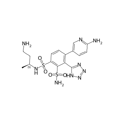 C[C@@H](CCN)NS(=O)(=O)c1ccc(-c2ccc(N)nc2)c(-c2nnn[nH]2)c1S(N)(=O)=O